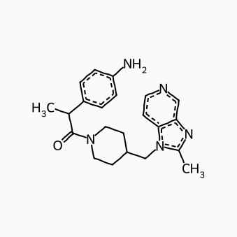 Cc1nc2cnccc2n1CC1CCN(C(=O)C(C)c2ccc(N)cc2)CC1